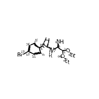 CCOC(OCC)C(=N)NNc1ccc(Br)cc1